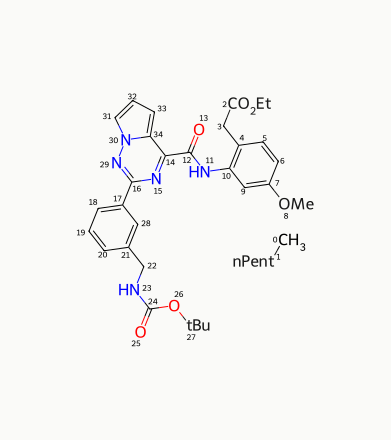 CCCCCC.CCOC(=O)Cc1ccc(OC)cc1NC(=O)c1nc(-c2cccc(CNC(=O)OC(C)(C)C)c2)nn2cccc12